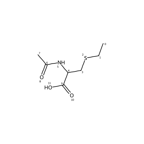 CCSCC(NC(C)=O)C(=O)O